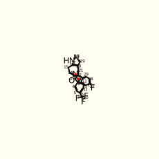 O=S(=O)(c1ccc(C(F)(F)F)cc1)N1C2Cc3[nH]ncc3C1C(c1ccc(F)cc1)C2